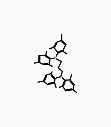 Cc1cc(C)c(P(CCCP(c2c(C)cc(C)cc2C)c2c(C)cc(C)cc2C)c2c(C)cc(C)cc2C)c(C)c1